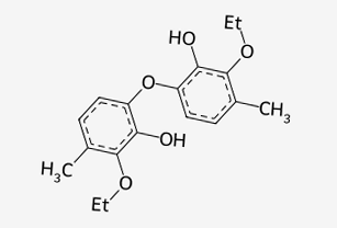 CCOc1c(C)ccc(Oc2ccc(C)c(OCC)c2O)c1O